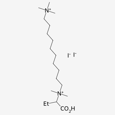 CCC(C(=O)O)[N+](C)(C)CCCCCCCCCC[N+](C)(C)C.[I-].[I-]